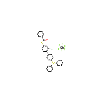 O=C(Sc1ccc(-c2ccc([S+](c3ccccc3)c3ccccc3)cc2)c(Cl)c1)c1ccccc1.[F][Sb-]([F])([F])([F])([F])[F]